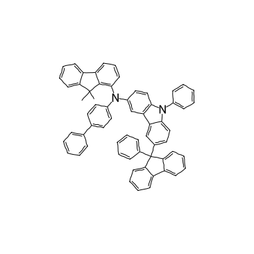 CC1(C)c2ccccc2-c2cccc(N(c3ccc(-c4ccccc4)cc3)c3ccc4c(c3)c3cc(C5(c6ccccc6)c6ccccc6-c6ccccc65)ccc3n4-c3ccccc3)c21